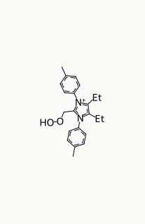 CCc1c(CC)[n+](-c2ccc(C)cc2)c(COO)n1-c1ccc(C)cc1